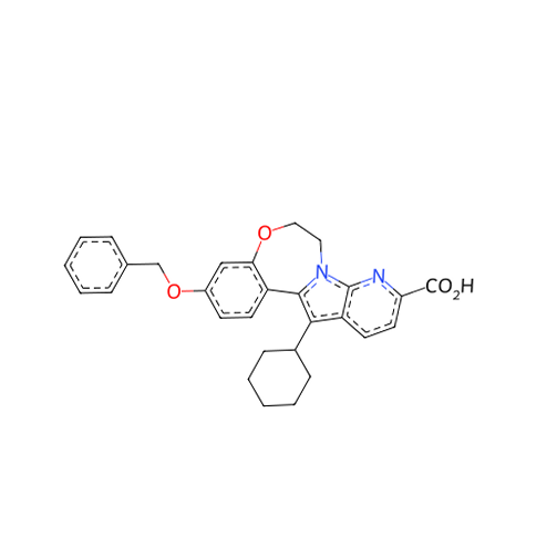 O=C(O)c1ccc2c(C3CCCCC3)c3n(c2n1)CCOc1cc(OCc2ccccc2)ccc1-3